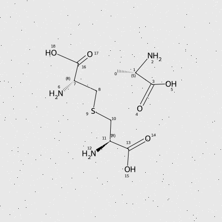 C[C@H](N)C(=O)O.N[C@@H](CSC[C@H](N)C(=O)O)C(=O)O